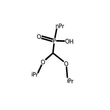 CCCP(=O)(O)C(OC(C)C)OC(C)C